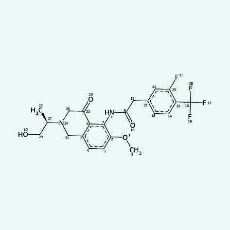 COc1ccc2c(c1NC(=O)Cc1ccc(C(F)(F)F)c(F)c1)C(=O)CN([C@H](C)CO)C2